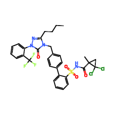 CCCCc1nn(-c2ccccc2C(F)(F)F)c(=O)n1Cc1ccc(-c2ccccc2S(=O)(=O)NC(=O)C2(C)CC2(Cl)Cl)cc1